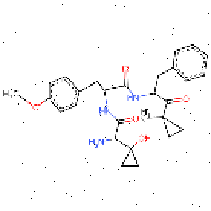 COc1ccc(CC(NC(=O)C(N)C2(O)CC2)C(=O)NC(Cc2ccccc2)C(=O)C2(C)CC2)cc1